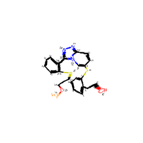 OCc1ccccc1Sc1ccc2nnc(-c3ccccc3SCCOP)n2c1